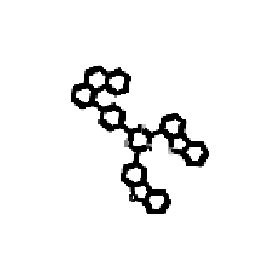 c1ccc2c(c1)ccc1cccc(-c3ccc(-c4nc(-c5ccc6oc7ccccc7c6c5)nc(-c5cccc6c5sc5ccccc56)n4)cc3)c12